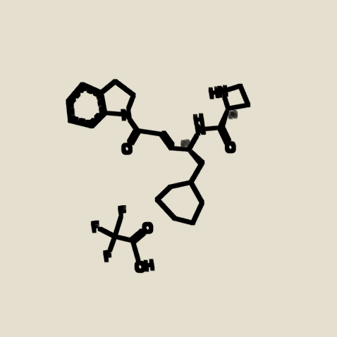 O=C(N[C@H](C=CC(=O)N1CCc2ccccc21)CC1CCCCC1)[C@@H]1CCN1.O=C(O)C(F)(F)F